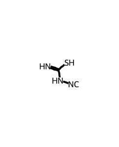 [C-]#[N+]NC(=N)S